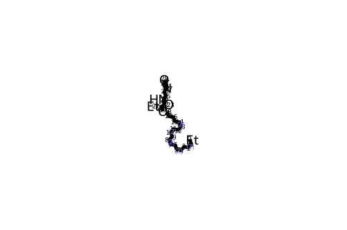 CC/C=C\C/C=C\C/C=C\C/C=C\C/C=C\CCCCOC(CC)C(=O)NCCN=C=O